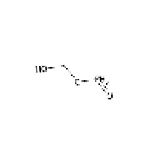 O=[PH2]OCO